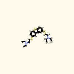 CCN(CC)CCSc1ccc2sc3ccc(SCCN(CC)CC)cc3c2c1